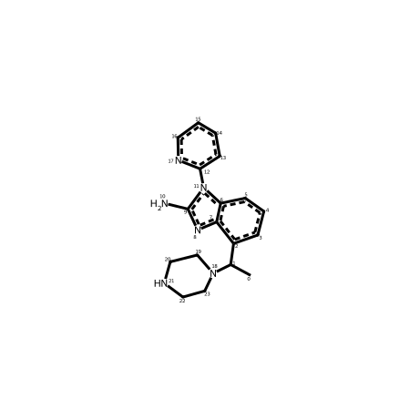 CC(c1cccc2c1nc(N)n2-c1ccccn1)N1CCNCC1